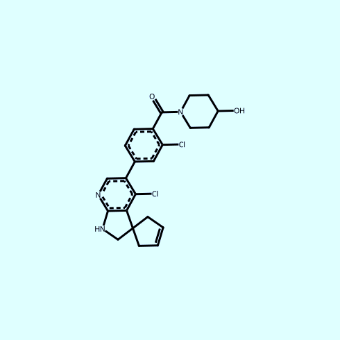 O=C(c1ccc(-c2cnc3c(c2Cl)C2(CC=CC2)CN3)cc1Cl)N1CCC(O)CC1